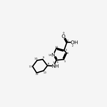 O=C(O)c1ccc(NC2CCCCC2)nc1